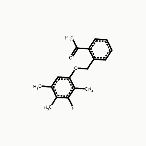 CC(=O)c1ccccc1COc1cc(C)c(C)c(F)c1C